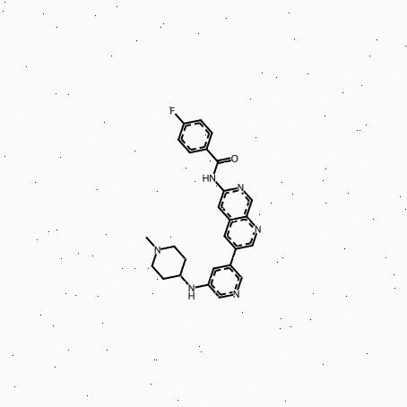 CN1CCC(Nc2cncc(-c3cnc4cnc(NC(=O)c5ccc(F)cc5)cc4c3)c2)CC1